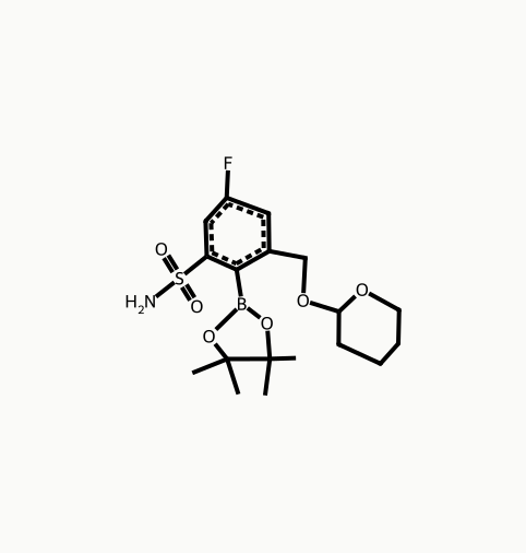 CC1(C)OB(c2c(COC3CCCCO3)cc(F)cc2S(N)(=O)=O)OC1(C)C